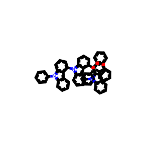 c1ccc(-n2c3ccccc3c3c(-n4c5cccc(-n6c7ccccc7c7ccccc76)c5c5c([Si](c6ccccc6)(c6ccccc6)c6ccccc6)cccc54)cccc32)cc1